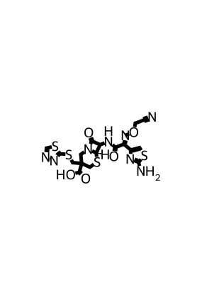 N#CCON=C(C(=O)NC1C(=O)N2CC(CSc3nncs3)(C(=O)O)CS[C@H]12)c1csc(N)n1